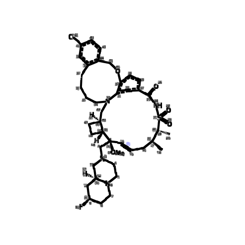 CO[C@]1(CN2CCN3CC[C@@H](F)C[C@H]3C2)/C=C/C[C@H](C)[C@@H](C)S(=O)(=O)NC(=O)c2ccc3c(c2)N(CCCCc2cc(Cl)ccc2CO3)C[C@@H]2CC[C@H]21